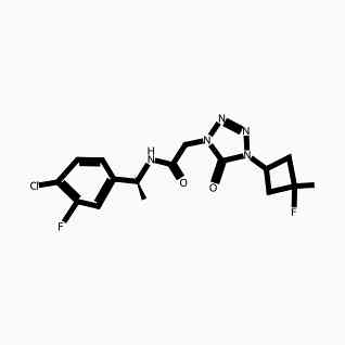 C[C@H](NC(=O)Cn1nnn(C2CC(C)(F)C2)c1=O)c1ccc(Cl)c(F)c1